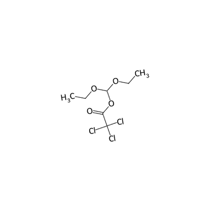 CCOC(OCC)OC(=O)C(Cl)(Cl)Cl